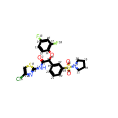 O=C(Nc1nc(Cl)cs1)C(Oc1ccc(F)cc1F)c1cccc(S(=O)(=O)N2CCCC2)c1